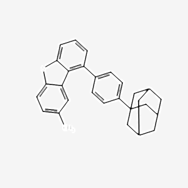 Cc1ccc2sc3cccc(-c4ccc(C56CC7CC(CC(C7)C5)C6)cc4)c3c2c1